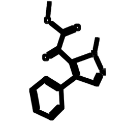 COC(=O)C(=O)c1c(-c2ccccc2)cnn1C